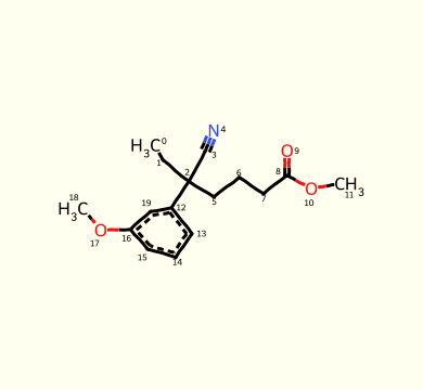 CCC(C#N)(CCCC(=O)OC)c1cccc(OC)c1